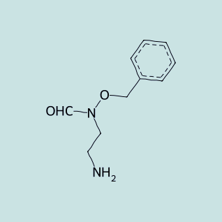 NCCN(C=O)OCc1ccccc1